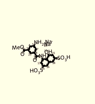 COC(=O)c1cc(N)cc(C(=O)Nc2cc(S(=O)(=O)O)cc3cc(S(=O)(=O)O)cc(O)c23)c1.[Na].[Na]